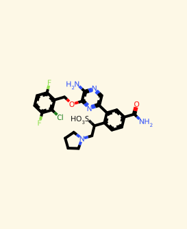 NC(=O)c1ccc(C(CN2CCCC2)S(=O)(=O)O)c(-c2cnc(N)c(OCc3c(F)ccc(F)c3Cl)n2)c1